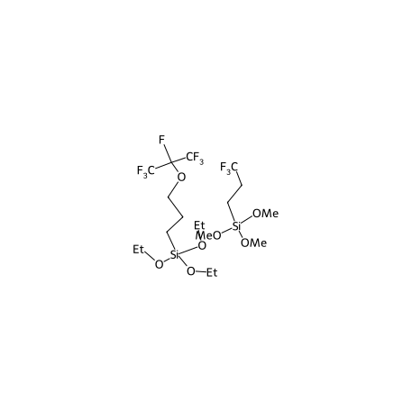 CCO[Si](CCCOC(F)(C(F)(F)F)C(F)(F)F)(OCC)OCC.CO[Si](CCC(F)(F)F)(OC)OC